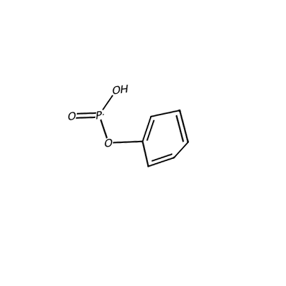 O=[P](O)Oc1ccccc1